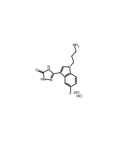 Cl.Cl.NCCCn1cc(-c2n[nH]c(=O)[nH]2)c2cc(F)ccc21